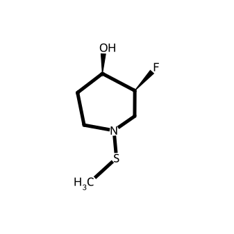 CSN1CC[C@@H](O)[C@@H](F)C1